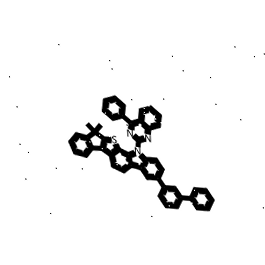 CC1(C)c2ccccc2-c2c1sc1c2ccc2c3cc(-c4cccc(-c5ccccc5)c4)ccc3n(-c3nc(-c4ccccc4)c4ccccc4n3)c21